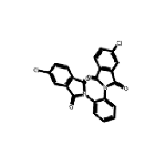 O=C1c2ccc(Cl)cc2C(=O)N1c1ccccc1N1C(=O)c2ccc(Cl)cc2C1=O